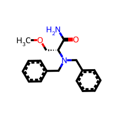 COC[C@H](C(N)=O)N(Cc1ccccc1)Cc1ccccc1